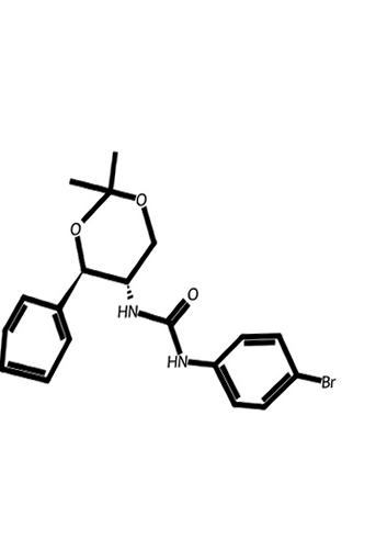 CC1(C)OC[C@H](NC(=O)Nc2ccc(Br)cc2)[C@@H](c2ccccc2)O1